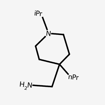 CCCC1(CN)CCN(C(C)C)CC1